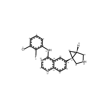 Fc1c(Cl)cccc1Nc1ncnc2ccc([C@]34CNC[C@H]3C4)cc12